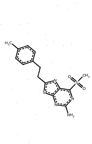 Cc1ccc(CCc2nc3c(S(C)(=O)=O)nc(N)nc3s2)cc1